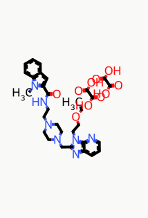 CCOCCn1c(CN2CCN(CCNC(=O)c3cc4ccccc4n3C)CC2)nc2cccnc21.O=C(O)C(=O)O.O=C(O)C(=O)O